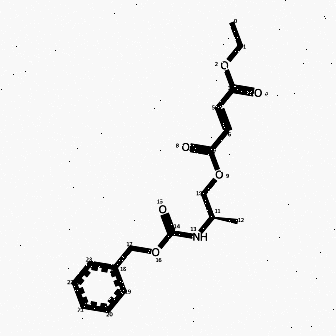 CCOC(=O)/C=C/C(=O)OC[C@@H](C)NC(=O)OCc1ccccc1